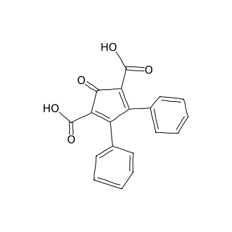 O=C(O)C1=C(c2ccccc2)C(c2ccccc2)=C(C(=O)O)C1=O